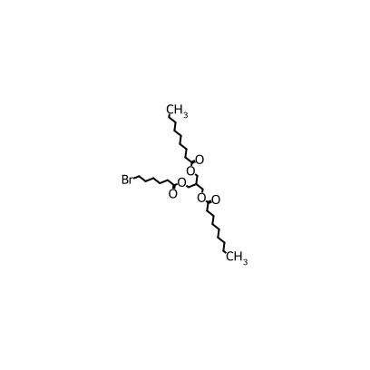 CCCCCCCCC(=O)OCC(COC(=O)CCCCCBr)COC(=O)CCCCCCCC